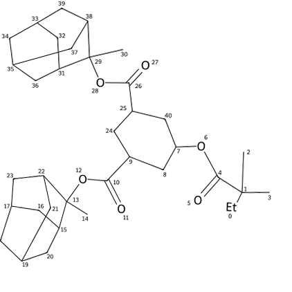 CCC(C)(C)C(=O)OC1CC(C(=O)OC2(C)C3CC4CC(C3)CC2C4)CC(C(=O)OC2(C)C3CC4CC(C3)CC2C4)C1